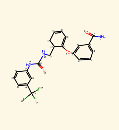 NC(=O)c1cccc(OC2=CC=CCC2CNC(=O)Nc2cccc(C(F)(F)F)c2)c1